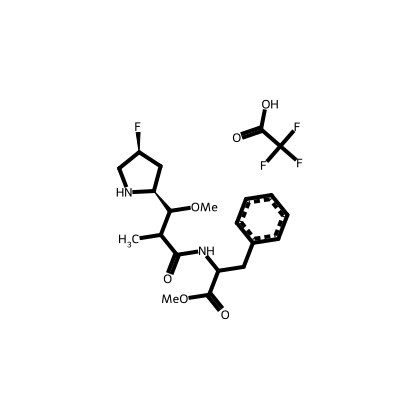 COC(=O)C(Cc1ccccc1)NC(=O)C(C)C(OC)[C@@H]1C[C@H](F)CN1.O=C(O)C(F)(F)F